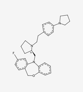 Fc1ccc2c(c1)N(C[C@H]1CCCN1CCc1ccc(N3CCCC3)cc1)c1ccccc1OC2